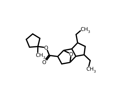 CCC1CC(CC)C2C3OC(CC3C(=O)OC3(C)CCCC3)C12